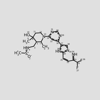 CC1C(CN[S+](C)[O-])C(C)(O)CCN1c1cc(-c2cnc(/C=C\C(=N)C(F)F)[nH]2)ncn1